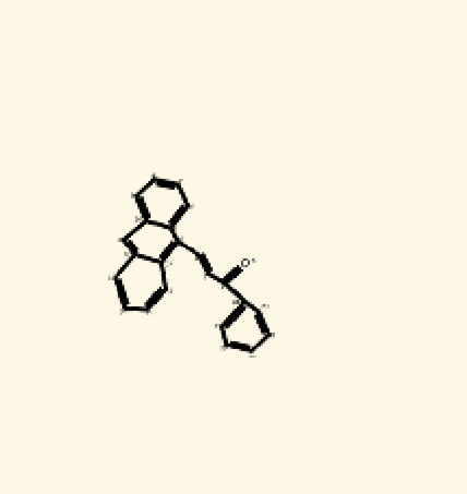 O=C(C=Cc1c2ccccc2cc2ccccc12)c1ccccc1